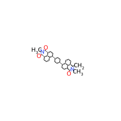 C=c1c2cccc3c(-c4ccc(-c5ccc6c7c(cccc57)C(=O)N(C)C6=O)cc4)ccc(c(=O)n1C)c32